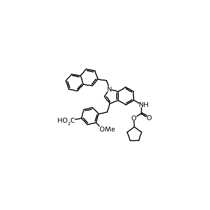 COc1cc(C(=O)O)ccc1Cc1cn(Cc2ccc3ccccc3c2)c2ccc(NC(=O)OC3CCCC3)cc12